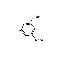 CNc1cc(F)cc(OC)c1